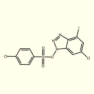 O=S(=O)(On1nnc2c(I)cc(Cl)cc21)c1ccc(Cl)cc1